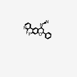 N#CN=C1CC(c2ccccc2)Oc2cc(F)c(-c3cccnc3F)cc21